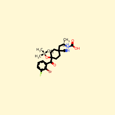 C[C@@H](CC1(C#N)CCC(O[Si](C)(C)C)(C(=O)c2cccc(F)c2Br)CC1)NC(=O)O